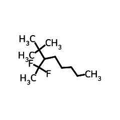 CCCCCC(C(C)(C)C)C(C)(F)F